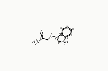 NC(=O)COc1c[nH]c2ccccc12